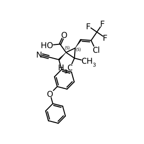 CC1(C)[C@H](C=C(Cl)C(F)(F)F)[C@]1(C(=O)O)C(C#N)c1cccc(Oc2ccccc2)c1